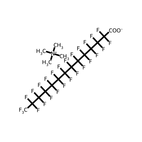 C[N+](C)(C)C.O=C([O-])C(F)(F)C(F)(F)C(F)(F)C(F)(F)C(F)(F)C(F)(F)C(F)(F)C(F)(F)C(F)(F)C(F)(F)C(F)(F)C(F)(F)C(F)(F)F